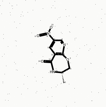 C[C@H]1COc2ncc([N+](=O)[O-])cc2C(=O)N1